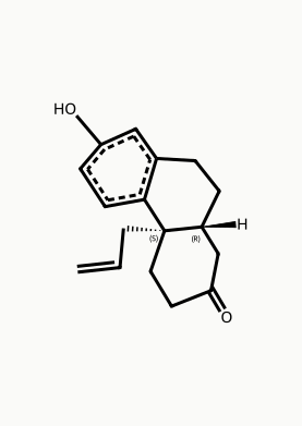 C=CC[C@@]12CCC(=O)C[C@H]1CCc1cc(O)ccc12